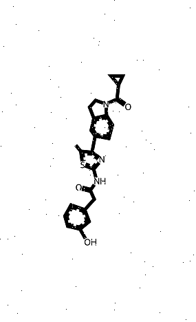 Cc1sc(NC(=O)Cc2cccc(O)c2)nc1-c1ccc2c(c1)CCN2C(=O)C1CC1